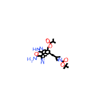 Cc1n[nH]c2c1C(c1cc(C#CC3CN(C(=O)OC(C)(C)C)C3)cc(COC(=O)C(C)C)c1)(C(C)C)C(C#N)=C(N)O2